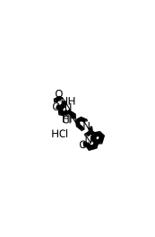 Cl.O=C1COc2cc(Cl)c(CNC3CCN(CC4Cn5c(=O)ccc6cccc4c65)CC3)nc2N1